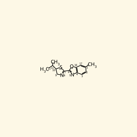 Cc1ccc2nc(C3=NCC(C(C)C)S3)oc2c1